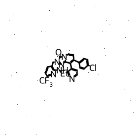 CCNc1nc(C(F)(F)F)ccc1Cn1nc2c(-c3ccncc3)c(-c3ccc(Cl)cc3)ccn2c1=O